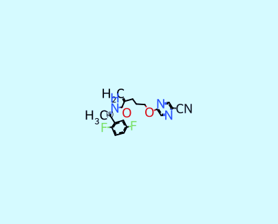 C=C(CCCOc1cnc(C#N)cn1)C(=O)N[C@@H](C)c1cc(F)ccc1F